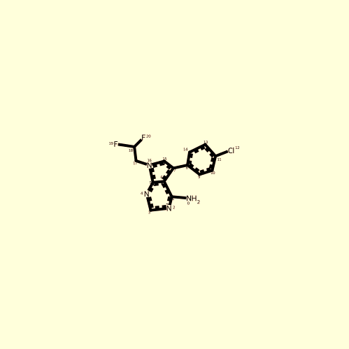 Nc1ncnc2c1c(-c1ccc(Cl)cc1)cn2CC(F)F